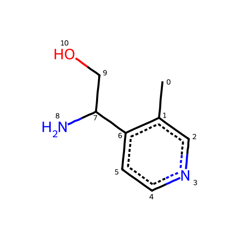 Cc1cnccc1C(N)CO